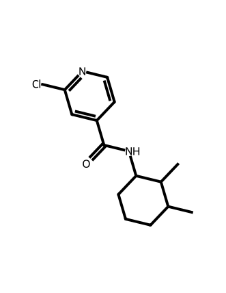 CC1CCCC(NC(=O)c2ccnc(Cl)c2)C1C